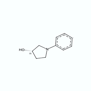 O[C@H]1CCN(c2cc[c]cc2)C1